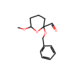 COC1CCCC(C=O)(OCc2ccccc2)O1